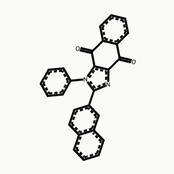 O=C1c2ccccc2C(=O)c2c1nc(-c1ccc3ccccc3c1)n2-c1ccccc1